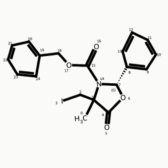 CC1(CI)C(=O)O[C@@H](c2ccccc2)N1C(=O)OCc1ccccc1